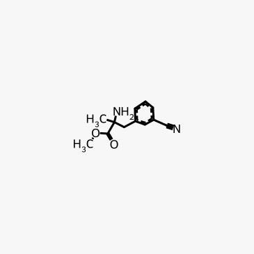 COC(=O)C(C)(N)Cc1cccc(C#N)c1